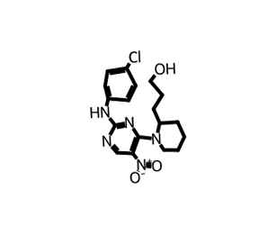 O=[N+]([O-])c1cnc(Nc2ccc(Cl)cc2)nc1N1CCCCC1CCCO